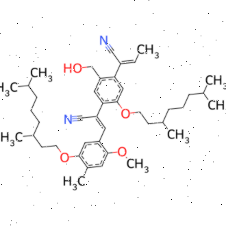 C/C=C(\C#N)c1cc(OCCC(C)CCCC(C)C)c(/C(C#N)=C/c2cc(OCCC(C)CCCC(C)C)c(C)cc2OC)cc1CO